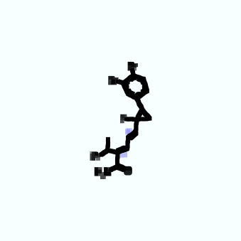 CC(C)C(C)/C(=C\C=C\C1(F)CC1c1ccc(Br)c(Br)c1)C(N)=O